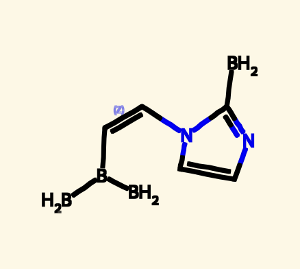 BB(B)/C=C\n1ccnc1B